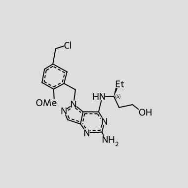 CC[C@@H](CCO)Nc1nc(N)nc2cnn(Cc3cc(CCl)ccc3OC)c12